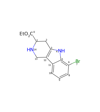 CCOC(=O)C1Cc2[nH]c3c(Br)cccc3c2CN1